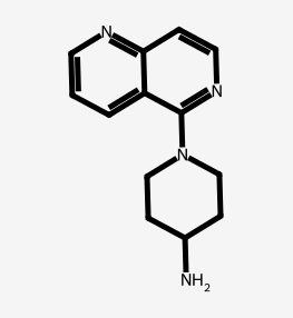 NC1CCN(c2nccc3ncccc23)CC1